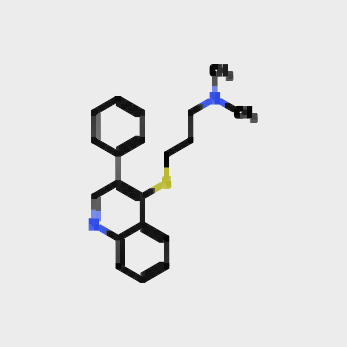 CN(C)CCCSc1c(-c2ccccc2)cnc2ccccc12